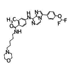 Cc1cc(Nc2nccn3c(-c4ccc(OC(F)F)cc4)cnc23)ccc1C(=O)NCCCCCN1CCOCC1